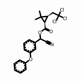 CC1(C)[C@H](C(=O)OC(C#N)c2cccc(Oc3ccccc3)c2)[C@@H]1CC(Cl)(Cl)Cl